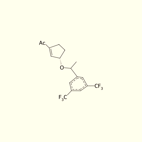 CC(=O)C1=C[C@@H](OC(C)c2cc(C(F)(F)F)cc(C(F)(F)F)c2)CC1